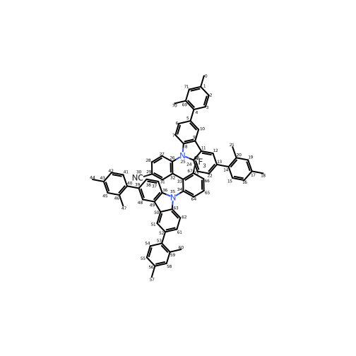 Cc1ccc(-c2ccc3c(c2)c2cc(-c4ccc(C)cc4C)ccc2n3-c2ccc(C#N)cc2-c2c(-n3c4ccc(-c5ccc(C)cc5C)cc4c4cc(-c5ccc(C)cc5C)ccc43)cccc2C(F)(F)F)c(C)c1